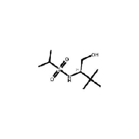 CC(C)S(=O)(=O)N[C@@H](CO)C(C)(C)C